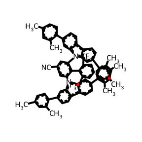 Cc1ccc(-c2ccc3c4ccc(-c5ccc(C)cc5C)cc4n(-c4cc(C#N)cc(-n5c6cc(-c7ccc(C)cc7C)ccc6c6ccc(-c7ccc(C)cc7C)cc65)c4-c4c(C(F)(F)F)cccc4C(F)(F)F)c3c2)c(C)c1